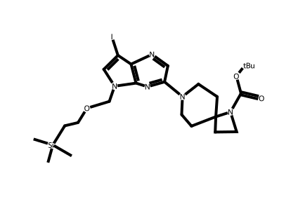 CC(C)(C)OC(=O)N1CCC12CCN(c1cnc3c(I)cn(COCC[Si](C)(C)C)c3n1)CC2